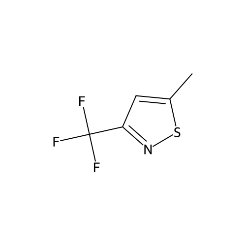 Cc1cc(C(F)(F)F)ns1